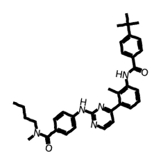 CCCCN(C)C(=O)c1ccc(Nc2nccc(-c3cccc(NC(=O)c4ccc(C(C)(C)C)cc4)c3C)n2)cc1